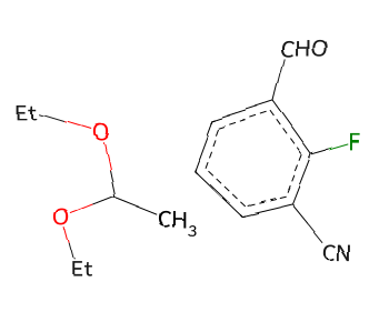 CCOC(C)OCC.N#Cc1cccc(C=O)c1F